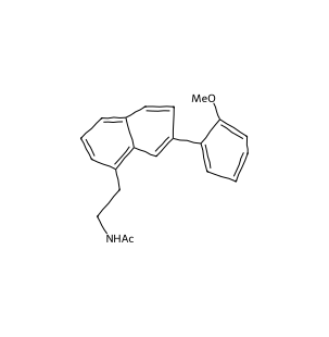 COc1ccccc1-c1ccc2cccc(CCNC(C)=O)c2c1